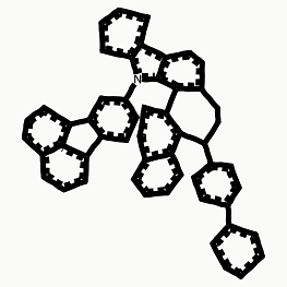 c1ccc(-c2ccc(C3CCc4ccc5c6ccccc6n(-c6ccc7c(c6)-c6cccc8cccc-7c68)c5c4-c4ccc5ccccc5c43)cc2)cc1